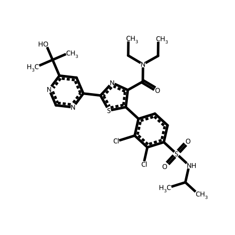 CCN(CC)C(=O)c1nc(-c2cc(C(C)(C)O)ncn2)sc1-c1ccc(S(=O)(=O)NC(C)C)c(Cl)c1Cl